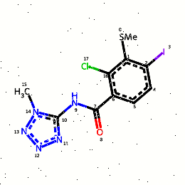 CSc1c(I)ccc(C(=O)Nc2nnnn2C)c1Cl